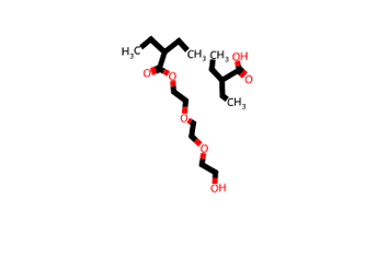 CCC(CC)C(=O)O.CCC(CC)C(=O)OCCOCCOCCO